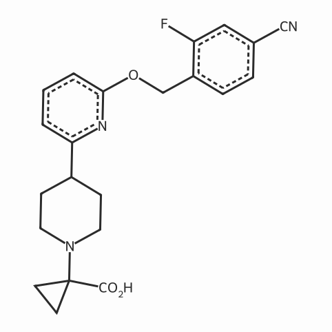 N#Cc1ccc(COc2cccc(C3CCN(C4(C(=O)O)CC4)CC3)n2)c(F)c1